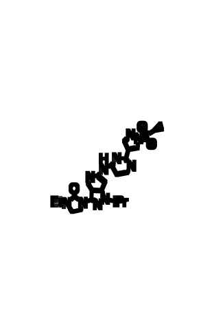 CCN1CCN(c2nn(C(C)C)c3cc(Nc4ccnc(-c5cnn(S(=O)(=O)C6CC6)c5)n4)ncc23)C1=O